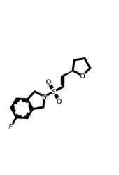 O=S(=O)(/C=C/[C@H]1CCCO1)N1Cc2ccc(F)cc2C1